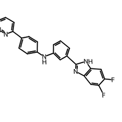 Fc1cc2nc(-c3cccc(Nc4ccc(-c5cccnn5)cc4)c3)[nH]c2cc1F